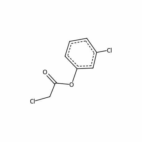 O=C(CCl)Oc1cccc(Cl)c1